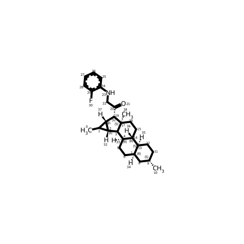 CC1[C@H]2C3[C@@H]4CC[C@@H]5C[C@@H](C)CC[C@@H]5[C@H]4CC[C@]3(C)[C@@H](C(=O)CNc3ccccc3F)[C@@H]12